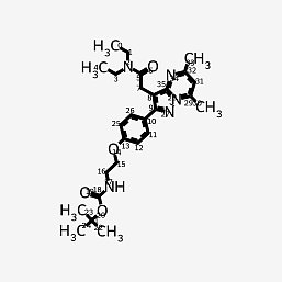 CCN(CC)C(=O)Cc1c(-c2ccc(OCCNC(=O)OC(C)(C)C)cc2)nn2c(C)cc(C)nc12